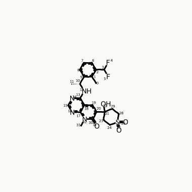 Cc1c(C(F)F)cccc1[C@@H](C)Nc1ncnc2c1cc(C1(O)CCS(=O)(=O)CC1)c(=O)n2C